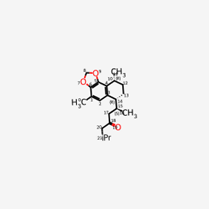 Cc1cc2c(c3c1OCO3)[C@H](C)CC[C@@H]2[C@@H](C)CC(=O)CC(C)C